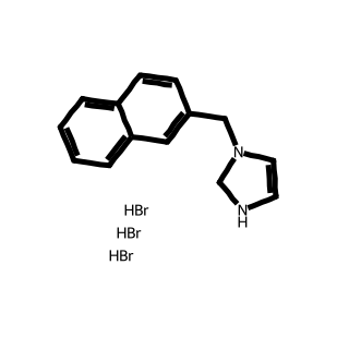 Br.Br.Br.C1=CN(Cc2ccc3ccccc3c2)CN1